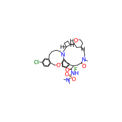 CN1CC[C@@H]2CCO[C@@H](C2)[C@@H]2CC[C@H]2CN2CCCCc3cc(Cl)ccc3COc3ccc(cc32)[C@](F)(C(=O)NS(=O)(=O)N(C)C)CC1=O